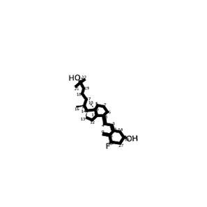 C=C1/C(=C\C=C2/CCC[C@@]3(C)C2CC[C@@H]3[C@@H](C)CCCC(C)(C)O)CC(O)C[C@@H]1F